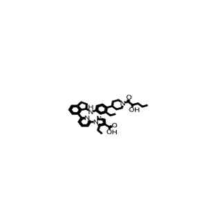 CCCC(O)C(=O)N1CCC(c2ccc(NC3CCc4cccc(-c5cccc(-n6ncc(C(=O)O)c6CC)n5)c43)cc2CC)CC1